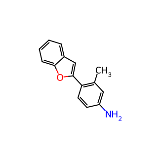 Cc1cc(N)ccc1-c1cc2ccccc2o1